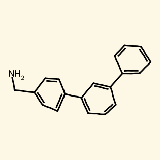 NCc1ccc(-c2cccc(-c3ccccc3)c2)cc1